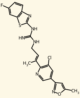 C/C(=C\CNC(=N)Nc1nc2ccc(F)cc2s1)c1ncc(-c2cc(C)on2)cc1Cl